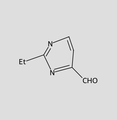 CCc1nccc(C=O)n1